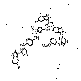 COC(=O)c1ccc(Nc2cncc(-n3c(C)nc4ccc(F)cc43)n2)cc1.COc1cccc(Nc2cncc(-n3c(C)nc4ccccc43)n2)c1.Cc1nc2ccc(F)cc2n1-c1cncc(Nc2ccc(C#N)cc2)n1